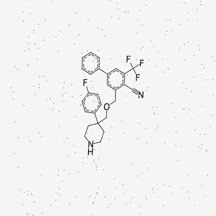 N#Cc1c(COCC2(c3ccc(F)cc3)CCNCC2)cc(-c2ccccc2)cc1C(F)(F)F